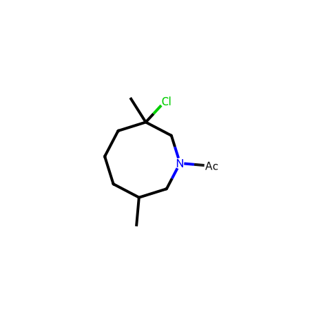 CC(=O)N1CC(C)CCCC(C)(Cl)C1